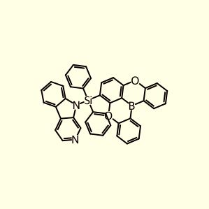 c1ccc([Si](c2ccccc2)(c2ccc3c4c2Oc2ccccc2B4c2ccccc2O3)n2c3ccccc3c3ccncc32)cc1